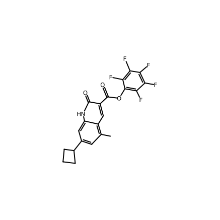 Cc1cc(C2CCC2)cc2[nH]c(=O)c(C(=O)Oc3c(F)c(F)c(F)c(F)c3F)cc12